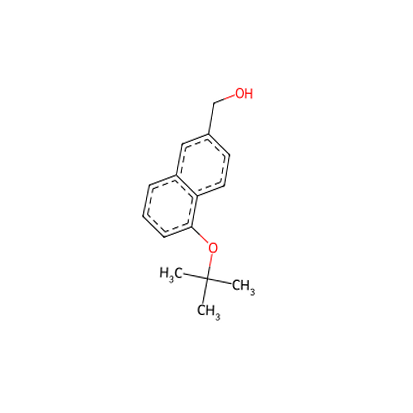 CC(C)(C)Oc1cccc2cc(CO)ccc12